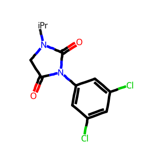 CC(C)N1CC(=O)N(c2cc(Cl)cc(Cl)c2)C1=O